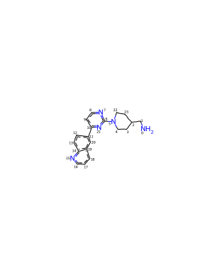 NCC1CCN(c2nccc(-c3ccc4ncccc4c3)n2)CC1